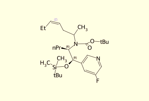 CC/C=C\CC(C)N(C(=O)OC(C)(C)C)[C@H](CCC)[C@H](O[Si](C)(C)C(C)(C)C)c1cncc(F)c1